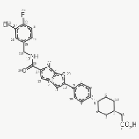 O=C(O)C[C@H]1CC[C@H](c2ccc(-c3cn4cc(C(=O)NCc5ccc(F)c(Cl)c5)nc4s3)cc2)CC1